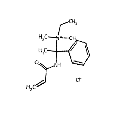 C=CC(=O)NC(C)(c1ccccc1)[N+](C)(C)CC.[Cl-]